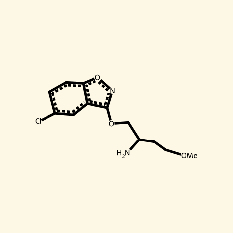 COCCC(N)COc1noc2ccc(Cl)cc12